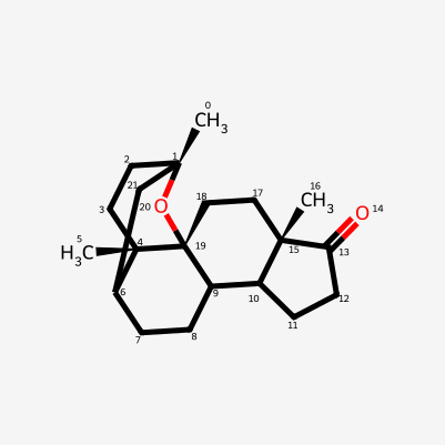 C[C@@]12CC[C@@]3(C)C(CCC4C5CCC(=O)[C@@]5(C)CC[C@@]43O1)C2